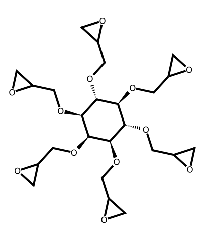 C1OC1CO[C@H]1[C@H](OCC2CO2)[C@@H](OCC2CO2)[C@H](OCC2CO2)[C@@H](OCC2CO2)[C@H]1OCC1CO1